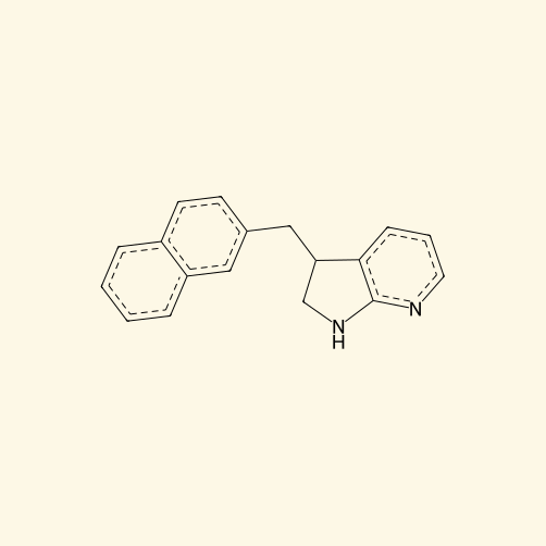 c1cnc2c(c1)C(Cc1ccc3ccccc3c1)CN2